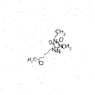 C=CCn1c(=O)c2c(ncn2CCCCCC(C)=O)n(C)c1=O